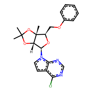 CC1(C)O[C@H]2[C@H](n3ccc4c(Cl)ncnc43)O[C@H](COc3ccccc3)[C@@]2(C)O1